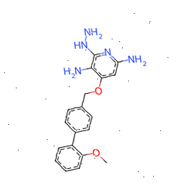 COc1ccccc1-c1ccc(COc2cc(N)nc(NN)c2N)cc1